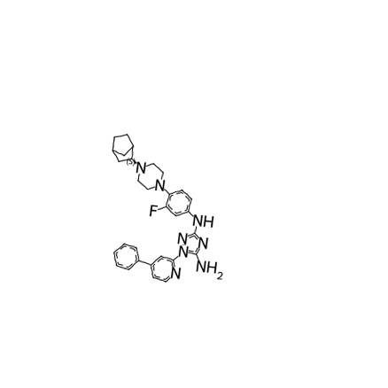 Nc1nc(Nc2ccc(N3CCN([C@H]4CC5CCC4C5)CC3)c(F)c2)nn1-c1cc(-c2ccccc2)ccn1